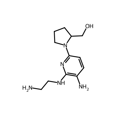 NCCNc1nc(N2CCCC2CO)ccc1N